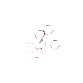 O=C(O)[C@@H]1[C@H]2CC[C@@H](CN1C(=O)N(c1ccccc1)c1ccccc1)N2C(=O)C#Cc1ccc(Cl)cc1